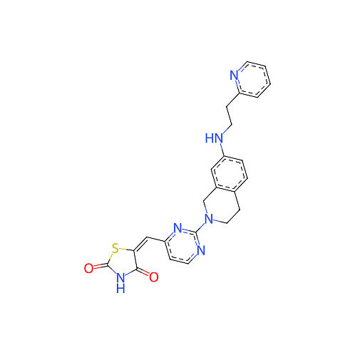 O=C1NC(=O)/C(=C\c2ccnc(N3CCc4ccc(NCCc5ccccn5)cc4C3)n2)S1